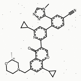 C[C@@H]1CN(Cc2cc(C3CC3)c3occ(-c4cc(-c5ccc(C#N)cc5-c5nncn5C)cc(C5CC5)n4)c(=O)c3c2)CCO1